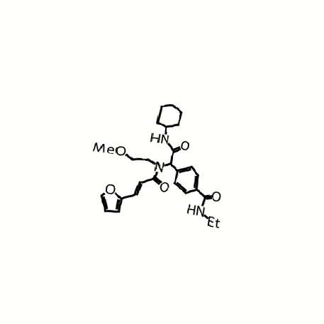 CCNC(=O)c1ccc(C(C(=O)NC2CCCCC2)N(CCOC)C(=O)/C=C/c2ccco2)cc1